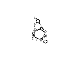 CO[C@H]1/C=C/C[C@@H]2C[C@@]2(C[C@@H]2CCCO2)S(=O)(=O)NC(=O)c2ccc3c(c2)N(CCCCc2cc(Cl)ccc2CO3)C[C@@H]2CC[C@H]21